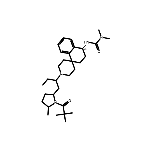 CCC(CC1CCC(C)N1C(=O)C(C)(C)C)N1CCC2(CC[C@@H](NC(=O)N(C)C)c3ccccc32)CC1